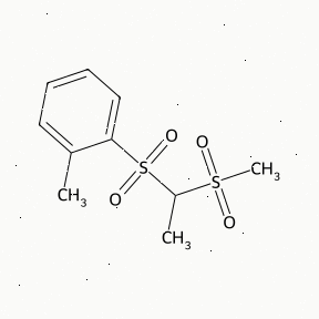 Cc1ccccc1S(=O)(=O)C(C)S(C)(=O)=O